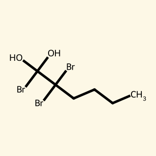 CCCCC(Br)(Br)C(O)(O)Br